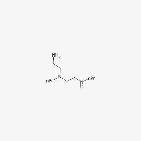 CCCNCCN(CCC)CCN